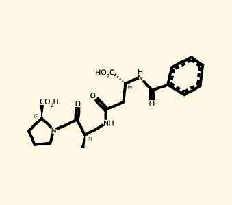 C[C@H](NC(=O)C[C@@H](NC(=O)c1ccccc1)C(=O)O)C(=O)N1CCC[C@H]1C(=O)O